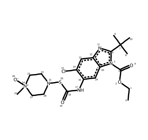 CCOC(=O)n1c(C(C)(C)C)nc2cc(Cl)c(NC(=O)SN3CC[N+](C)([O-])CC3)cc21